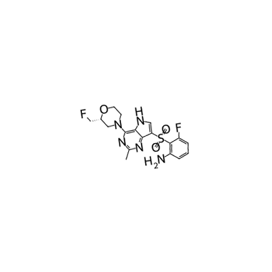 Cc1nc(N2CCO[C@@H](CF)C2)c2[nH]cc(S(=O)(=O)c3c(N)cccc3F)c2n1